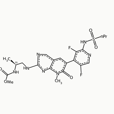 CCCS(=O)(=O)Nc1ncc(F)c(-c2cc3cnc(NC[C@H](C)NC(=O)OC)nc3n(C)c2=O)c1F